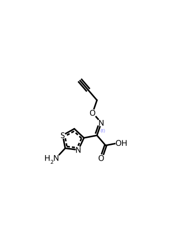 C#CCO/N=C(/C(=O)O)c1csc(N)n1